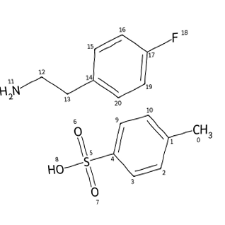 Cc1ccc(S(=O)(=O)O)cc1.NCCc1ccc(F)cc1